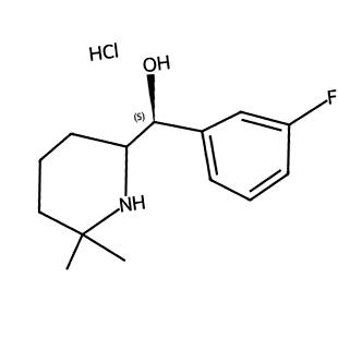 CC1(C)CCCC([C@@H](O)c2cccc(F)c2)N1.Cl